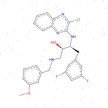 COc1cccc(CNC[C@@H](O)[C@H](Cc2cc(F)cc(F)c2)Nc2nc3ccccc3nc2Cl)c1